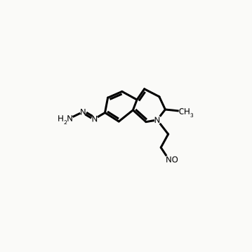 CC1CC=c2ccc(N=NN)cc2=CN1CCN=O